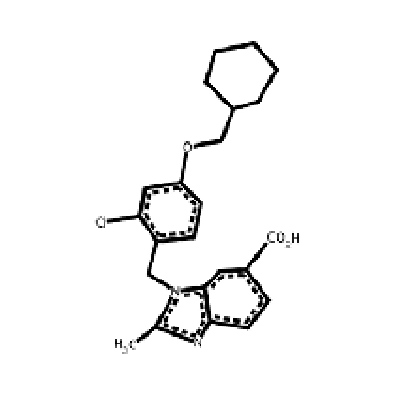 Cc1nc2ccc(C(=O)O)cc2n1Cc1ccc(OCC2CCCCC2)cc1Cl